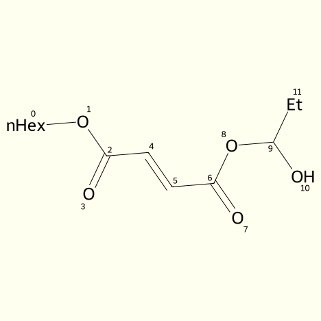 CCCCCCOC(=O)C=CC(=O)OC(O)CC